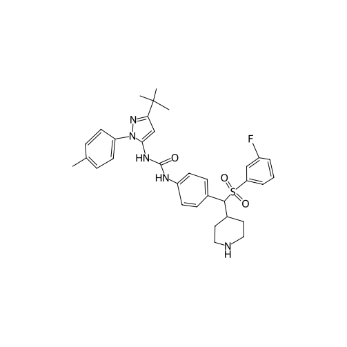 Cc1ccc(-n2nc(C(C)(C)C)cc2NC(=O)Nc2ccc(C(C3CCNCC3)S(=O)(=O)c3cccc(F)c3)cc2)cc1